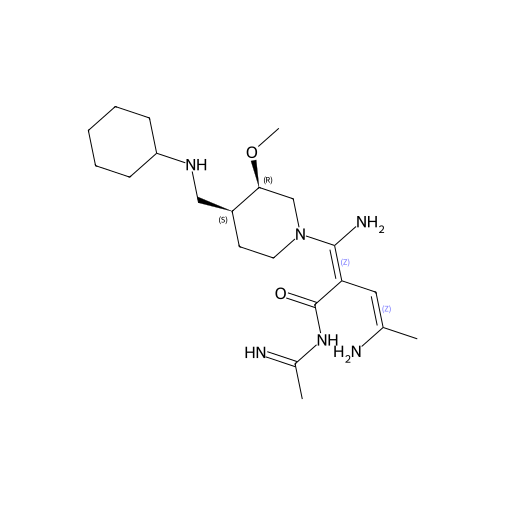 CO[C@H]1CN(/C(N)=C(/C=C(/C)N)C(=O)NC(C)=N)CC[C@H]1CNC1CCCCC1